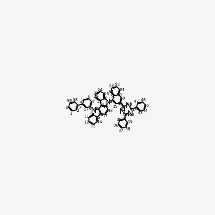 c1ccc(-c2cccc(-n3c4ccccc4c4ccc5c(c6ccccc6n5-c5cc(-c6nc(-c7ccccc7)nc(-c7ccccc7)n6)cc6ccccc56)c43)c2)cc1